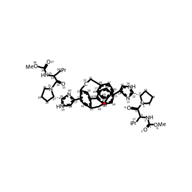 COC(=O)NC(C(=O)N1CCC[C@H]1c1nc(-c2ccc(-c3cc4c(-c5c[nH]c([C@@H]6CCCN6C(=O)C(NC(=O)OC)C(C)C)n5)cc3CCc3ccc(cc3)CC4)cc2)c[nH]1)C(C)C